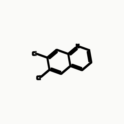 Clc1cc2cccnc2cc1Cl